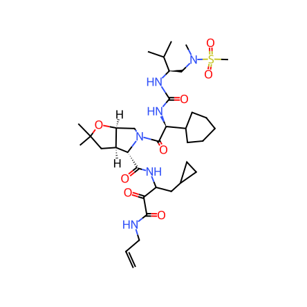 C=CCNC(=O)C(=O)C(CC1CC1)NC(=O)[C@@H]1[C@H]2CC(C)(C)O[C@H]2CN1C(=O)[C@@H](NC(=O)N[C@H](CN(C)S(C)(=O)=O)C(C)C)C1CCCCC1